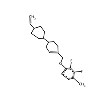 C=CC1CCC(C2CC=C(COc3ccc(C)c(F)c3F)CC2)CC1